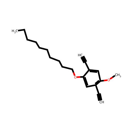 C#Cc1cc(OCCCCCCCCCC)c(C#C)cc1OC